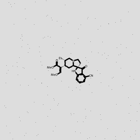 CC[C@@H]1CN2CC[C@]3(Nc4cccc(C#N)c4C3=O)C2C[C@@H]1C(=COC)C(=O)OC